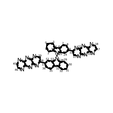 c1ccc2c(c1)c1ccc(-c3cnc4nc5nccnc5nc4n3)cc1n2-n1c2ccccc2c2ccc(-c3cnc4nc5nccnc5nc4n3)cc21